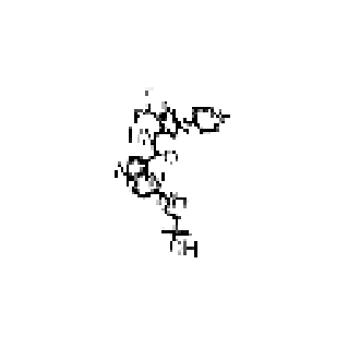 CN1CCC(n2cc(NC(=O)c3cnn4ccc(NCCC(C)(C)O)nc34)c(C(F)F)n2)CC1